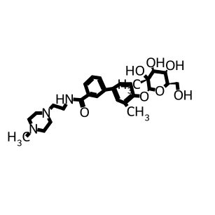 Cc1cc(-c2cccc(C(=O)NCCN3CCN(C)CC3)c2)ccc1O[C@H]1O[C@H](CO)[C@@H](O)[C@H](O)[C@@]1(C)O